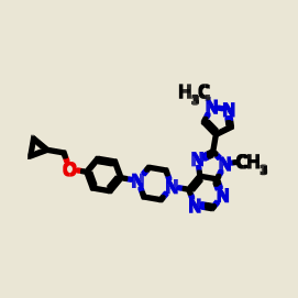 Cn1cc(-c2nc3c(N4CCN(c5ccc(OCC6CC6)cc5)CC4)ncnc3n2C)cn1